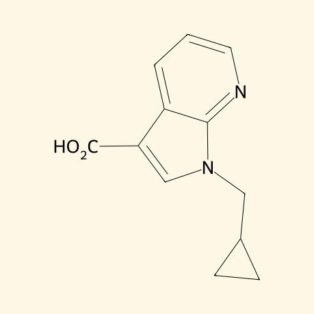 O=C(O)c1cn(CC2CC2)c2ncccc12